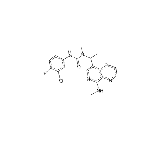 CNc1ncc(C(C)N(C)C(=O)Nc2ccc(F)c(Cl)c2)c2nccnc12